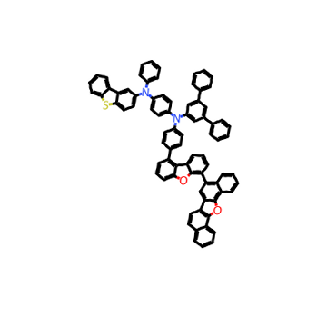 c1ccc(-c2cc(-c3ccccc3)cc(N(c3ccc(-c4cccc5oc6c(-c7cc8c9ccc%10ccccc%10c9oc8c8ccccc78)cccc6c45)cc3)c3ccc(N(c4ccccc4)c4ccc5sc6ccccc6c5c4)cc3)c2)cc1